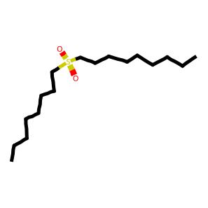 CCCCCCCCCS(=O)(=O)CCCCCCCC